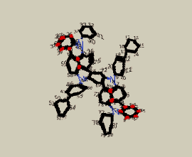 c1ccc(-c2ccc(N(c3ccc(-c4ccccc4)cc3)c3cc(-c4ccc(N(c5ccccc5)c5ccccc5)cc4)c(N(c4ccc(-c5ccccc5)cc4)c4ccc(-c5ccccc5)cc4)cc3-c3ccc(N(c4ccccc4)c4ccccc4)cc3)cc2)cc1